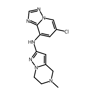 CN1CCn2nc(Nc3cc(Cl)cn4ncnc34)cc2C1